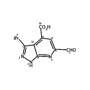 CC(C)c1n[nH]c2nc(C=O)cc(C(=O)O)c12